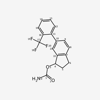 NC(=O)OC1CCc2ccc(-c3ccccc3C(F)(F)F)cc21